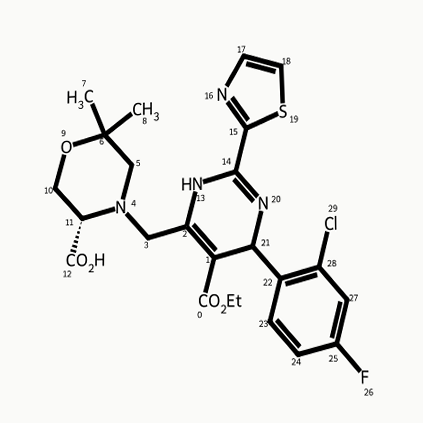 CCOC(=O)C1=C(CN2CC(C)(C)OC[C@H]2C(=O)O)NC(c2nccs2)=NC1c1ccc(F)cc1Cl